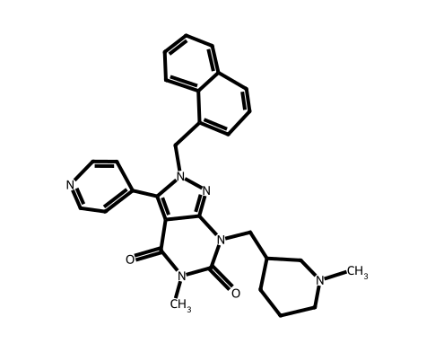 CN1CCCC(Cn2c(=O)n(C)c(=O)c3c(-c4ccncc4)n(Cc4cccc5ccccc45)nc32)C1